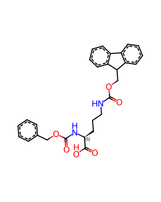 O=C(NCCC[C@H](NC(=O)OCc1ccccc1)C(=O)O)OCC1c2ccccc2-c2ccccc21